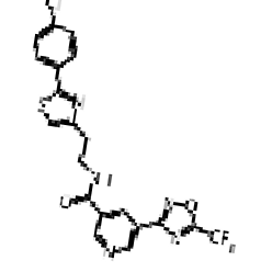 O=C(NCCc1csc(-c2ccc(Cl)cc2)n1)c1cncc(-c2noc(C(F)(F)F)n2)c1